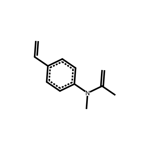 C=Cc1ccc(N(C)C(=C)C)cc1